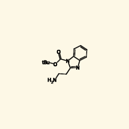 CC(C)(C)OC(=O)n1c(CCN)nc2ccccc21